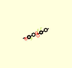 CCOc1ccc(C2CCC(OC(=O)c3ccc(C4CCC(C)CC4)c(F)c3F)CC2)c(F)c1